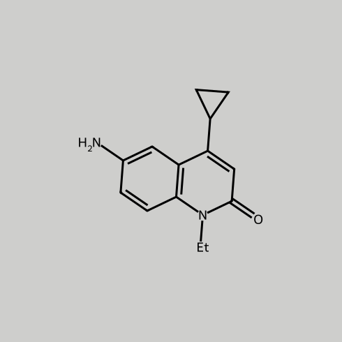 CCn1c(=O)cc(C2CC2)c2cc(N)ccc21